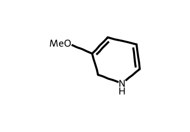 COC1=CC=CNC1